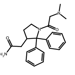 CN(C)CC(=O)N1CCC(CC(N)=O)C1(c1ccccc1)c1ccccc1